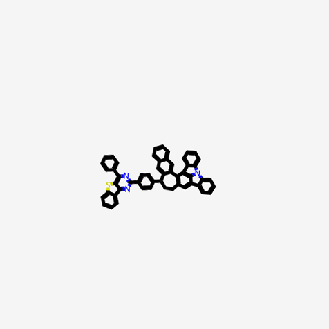 c1ccc(-c2nc(-c3ccc(C4CCc5cc6c7ccccc7n7c8ccccc8c(c5-c5cc8ccccc8cc54)c67)cc3)nc3c2sc2ccccc23)cc1